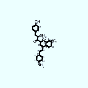 C[n+]1c(C(=O)C(N)Cc2ccc(O)cc2)cc(C=Cc2ccc(N)cc2)c2ccccc21.Cl.Cl